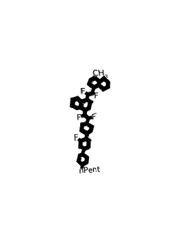 CCCCCc1ccc(-c2ccc(-c3ccc(C(F)=C(F)c4ccc(C(F)=C(F)c5ccc(C)c6ccccc56)c5ccccc45)cc3)c(F)c2)cc1